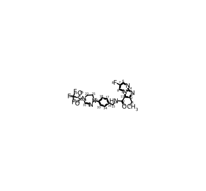 CCc1nc2ncc(F)cn2c1C(=O)NCc1ccc(N2CCN(S(=O)(=O)C(F)(F)F)C=N2)cc1